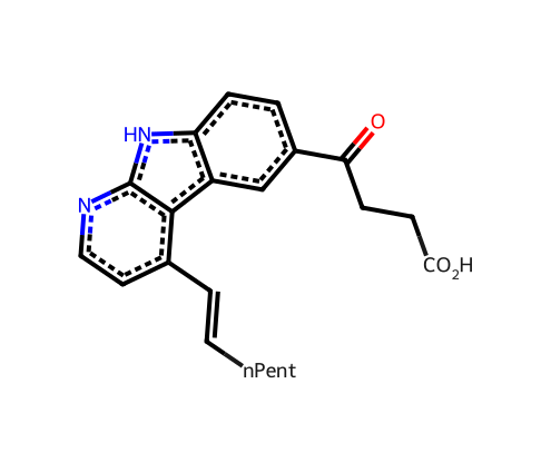 CCCCCC=Cc1ccnc2[nH]c3ccc(C(=O)CCC(=O)O)cc3c12